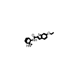 CCOc1ccc2cc(C(=O)NC3C4CCC(CC4)[C@@]34CN4)sc2c1